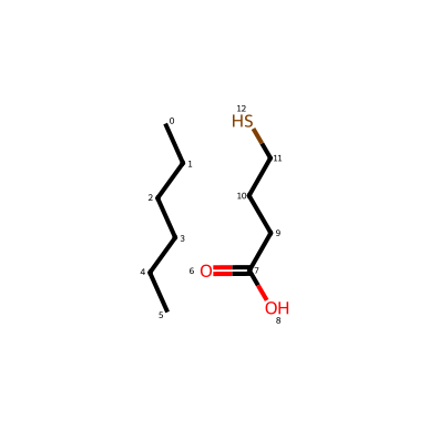 CCCCCC.O=C(O)CCCS